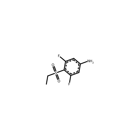 CCS(=O)(=O)c1c(F)cc(N)cc1F